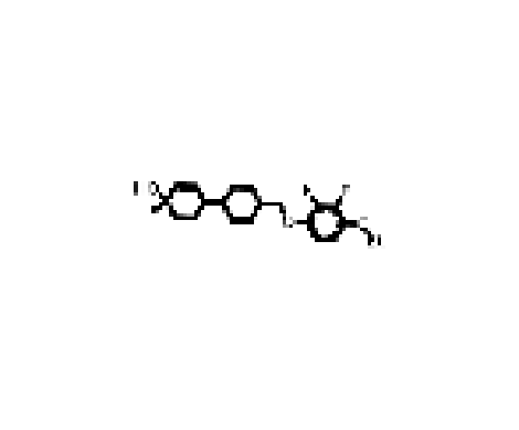 CCOc1ccc(OCC2CCC(C3C=CC(C)(O)CC3)CC2)c(F)c1F